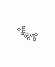 c1ccc(-c2ccc(-c3ccccc3N(c3ccc(-c4ccc5c(c4)c4ccccc4n5-c4ccccc4)cc3)c3ccc4c5ccccc5n(-c5ccccc5)c4c3)cc2)cc1